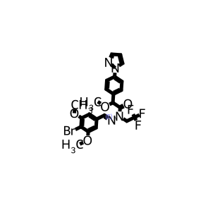 COc1cc(/C=N/N(CC(F)(F)F)C(=O)C(OC)c2ccc(-n3cccn3)cc2)cc(OC)c1Br